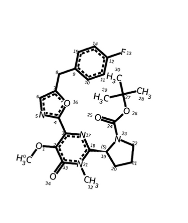 COc1c(-c2ncc(Cc3ccc(F)cc3)o2)nc([C@@H]2CCCN2C(=O)OC(C)(C)C)n(C)c1=O